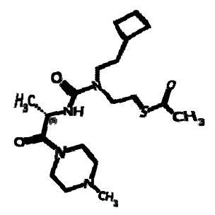 CC(=O)SCCN(CCC1CCC1)C(=O)N[C@@H](C)C(=O)N1CCN(C)CC1